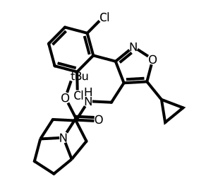 CC(C)(C)OC(=O)N1C2CCC1CC(NCc1c(-c3c(Cl)cccc3Cl)noc1C1CC1)C2